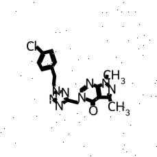 Cc1nn(C)c2ncn(Cc3nnn(CCc4ccc(Cl)cc4)n3)c(=O)c12